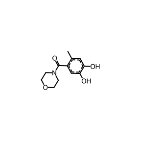 Cc1cc(O)c(O)cc1C(=O)N1CCOCC1